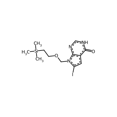 C[Si](C)(C)CCOCn1c(I)cc2c(=O)[nH]cnc21